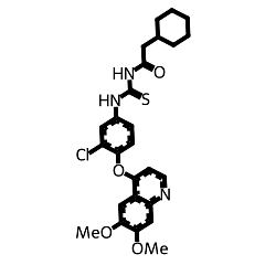 COc1cc2nccc(Oc3ccc(NC(=S)NC(=O)CC4CCCCC4)cc3Cl)c2cc1OC